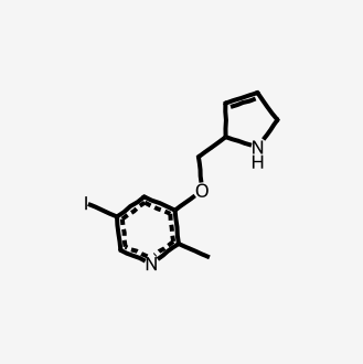 Cc1ncc(I)cc1OCC1C=CCN1